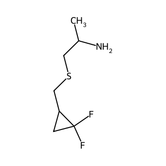 CC(N)CSCC1CC1(F)F